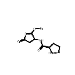 CCOC1OC(=O)CC1NC(=O)C1CCCN1